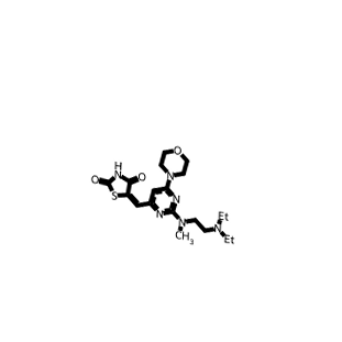 CCN(CC)CCN(C)c1nc(C=C2SC(=O)NC2=O)cc(N2CCOCC2)n1